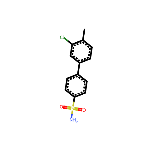 Cc1ccc(-c2ccc(S(N)(=O)=O)cc2)cc1Cl